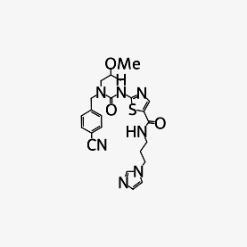 COC(C)CN(Cc1ccc(C#N)cc1)C(=O)Nc1ncc(C(=O)NCCCn2ccnc2)s1